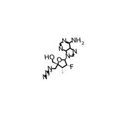 C[C@H]1[C@@H](F)[C@H](N2C=NC3C(N)=NC=NC32)O[C@@]1(CO)CN=[N+]=[N-]